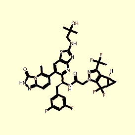 Cc1c(-c2cc3sc(NCC(C)(C)O)nc3nc2[C@H](Cc2cc(F)cc(F)c2)NC(=O)Cn2nc(C(F)(F)F)c3c2C(F)(F)C2C[C@H]32)ccc2n[nH]c(=O)n12